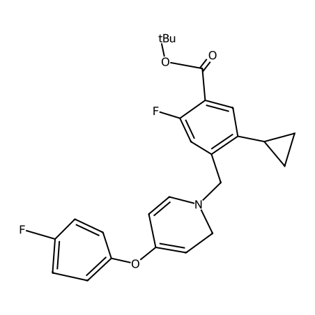 CC(C)(C)OC(=O)c1cc(C2CC2)c(CN2C=CC(Oc3ccc(F)cc3)=CC2)cc1F